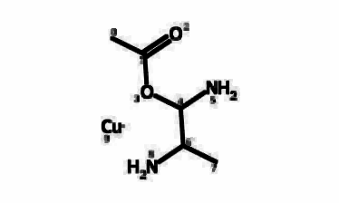 CC(=O)OC(N)C(C)N.[Cu]